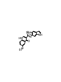 CCOc1ccc2[nH]cc(C(=O)Nc3cc4[nH]ccc4cc3C(C)(C)C)c(=O)c2c1